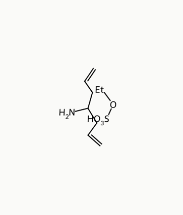 C=CCC(N)CC=C.CCOS(=O)(=O)O